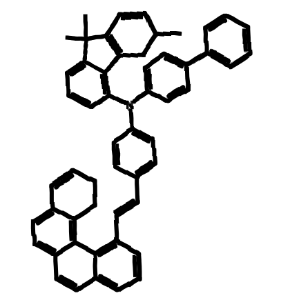 CC1C=CC2=C(C1)c1c(N(c3ccc(C=Cc4cccc5ccc6ccc7c(c6c45)CCC=C7)cc3)c3ccc(-c4ccccc4)cc3)cccc1C2(C)C